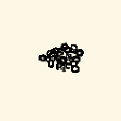 CC1(C)c2ccccc2-c2cccc(N(c3cccc(N(c4cccc5c4C(C)(C)c4ccccc4-5)c4cccc5oc6ccccc6c45)c3)c3cccc4c3sc3ccccc34)c21